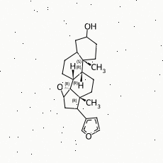 C[C@]12CCC(O)CC1CC[C@@H]1[C@H]2CC[C@]2(C)C(c3ccoc3)CC3O[C@]312